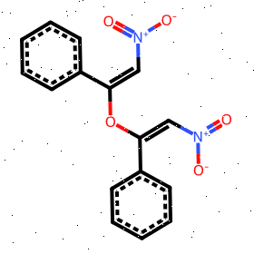 O=[N+]([O-])C=C(OC(=C[N+](=O)[O-])c1ccccc1)c1ccccc1